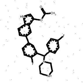 CC(=O)Oc1c[nH]c2ccc(-c3ccc(F)c(C(c4ccc(F)cc4)N4CCNCC4)c3)cc12